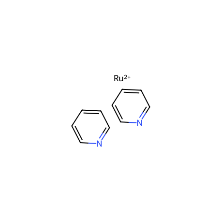 [Ru+2].c1ccncc1.c1ccncc1